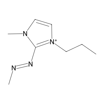 CCC[n+]1ccn(C)c1N=NC